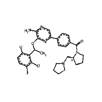 CC(Oc1nc(-c2ccc(C(=O)N3CCC[C@H]3CN3CCCC3)cc2)cnc1N)c1c(Cl)ccc(F)c1Cl